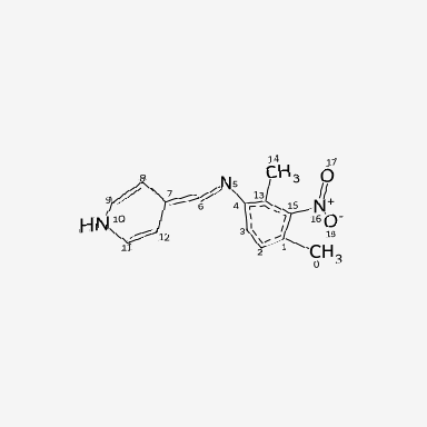 Cc1ccc(N=C=C2C=CNC=C2)c(C)c1[N+](=O)[O-]